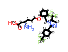 N[C@H](CCCOc1ccccc1Cn1c(C(F)(F)F)cnc1-c1ccc(C(F)(F)F)cc1)CC(=O)O